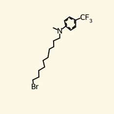 CN(CCCCCCCCCCBr)c1ccc(C(F)(F)F)cc1